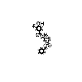 O=C(NCC1CN(C(=O)OCc2ccccc2)CCO1)c1ccc(O)c(F)c1